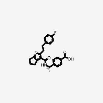 C[C@H](NC(=O)c1c(CCc2ccc(F)cc2)sc2c1CCC2)c1ccc(C(=O)O)cc1